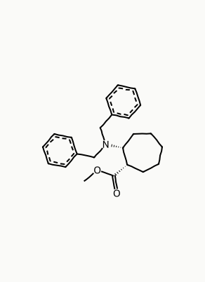 COC(=O)[C@H]1CCCCC[C@H]1N(Cc1ccccc1)Cc1ccccc1